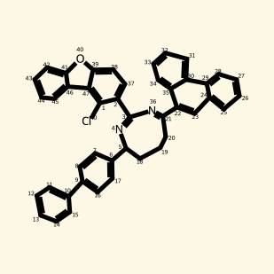 Clc1c(C2=N/C(c3ccc(-c4ccccc4)cc3)CCC/C(c3cc4ccccc4c4ccccc34)=N\2)ccc2oc3ccccc3c12